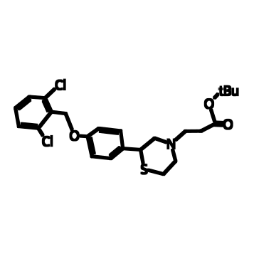 CC(C)(C)OC(=O)CCN1CCSC(c2ccc(OCc3c(Cl)cccc3Cl)cc2)C1